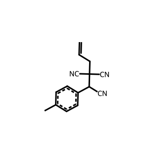 C=CCC(C#N)(C#N)C(C#N)c1ccc(C)cc1